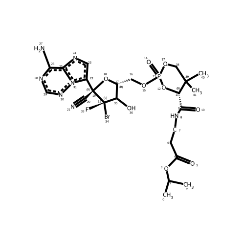 CC(C)OC(=O)CCNC(=O)[C@@H]1OP(=O)(OC[C@H]2O[C@@](C#N)(c3cnc4c(N)ncnn34)[C@@](F)(Br)C2O)OCC1(C)C